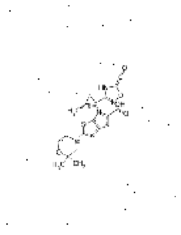 C[C@H]1C[C@]1(C1=NOC(=C=O)N1)n1c(C(=O)O)cc2cc([C@H]3CCOC(C)(C)C3)sc21